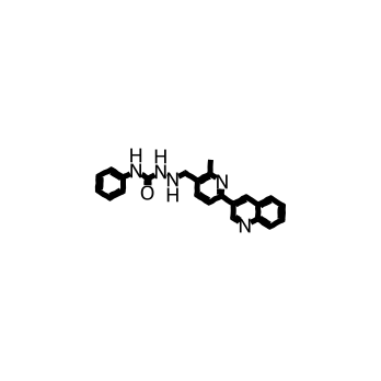 Cc1nc(-c2cnc3ccccc3c2)ccc1CNNC(=O)Nc1ccccc1